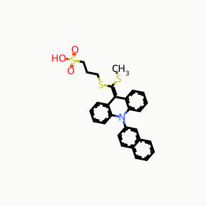 CSC(SCCCS(=O)(=O)O)=C1c2ccccc2N(c2ccc3ccccc3c2)c2ccccc21